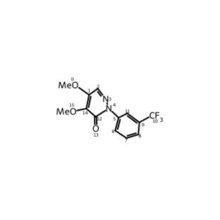 COc1cnn(-c2cccc(C(F)(F)F)c2)c(=O)c1OC